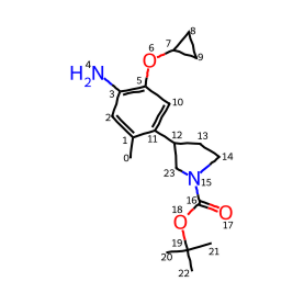 Cc1cc(N)c(OC2CC2)cc1C1CCN(C(=O)OC(C)(C)C)C1